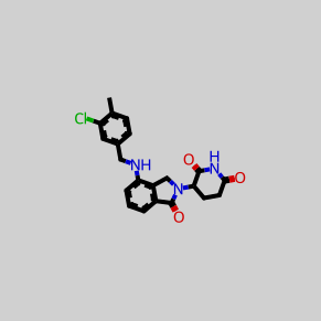 Cc1ccc(CNc2cccc3c2CN(C2CCC(=O)NC2=O)C3=O)cc1Cl